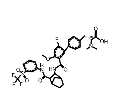 COc1cc(F)c(-c2ccc(C[C@H](C(=O)O)N(C)C)cc2)cc1C(=O)NC1C2CCC(C2)C1C(=O)Nc1cccc(S(=O)(=O)C(F)(F)F)c1